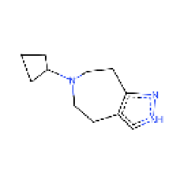 c1[nH]nc2c1CCN(C1CCC1)CC2